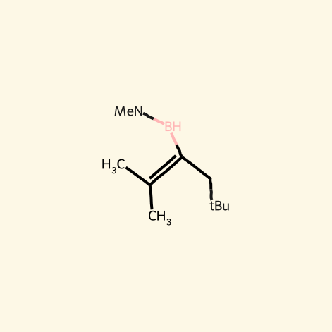 CNBC(CC(C)(C)C)=C(C)C